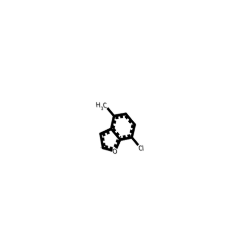 Cc1ccc(Cl)c2o[c]cc12